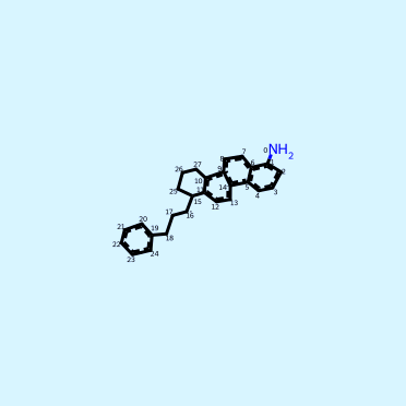 Nc1cccc2c1ccc1c3c(ccc12)C([CH]CCc1ccccc1)CCC3